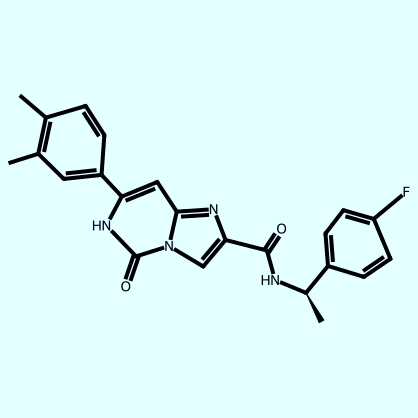 Cc1ccc(-c2cc3nc(C(=O)N[C@H](C)c4ccc(F)cc4)cn3c(=O)[nH]2)cc1C